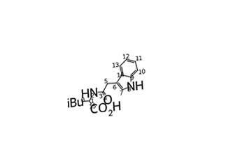 CCC(C)C(NC(=O)Cc1c[nH]c2ccccc12)C(=O)O